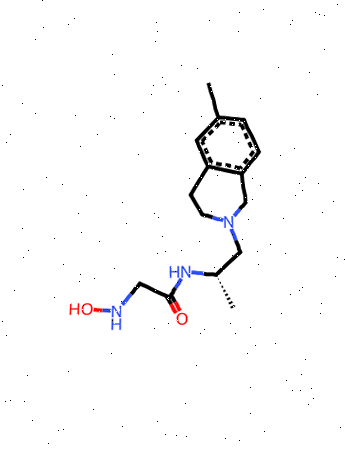 Cc1ccc2c(c1)CCN(C[C@H](C)NC(=O)CNO)C2